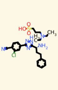 CCN(CC)CCCS(=O)(=O)O.N#Cc1ccc(-c2n[nH]c([C@H](N)CCc3ccccc3)n2)cc1Cl